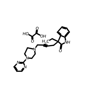 CCC1(CC#CCN2CCN(c3ncccn3)CC2)C(=O)Nc2ccccc21.O=C(O)C(=O)O